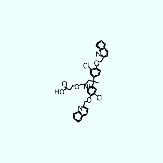 CC(CC(=N)COCCC(=O)O)(c1ccc(OCc2ccc3ccccc3n2)c(Cl)c1)c1ccc(OCc2ccc3ccccc3n2)c(Cl)c1